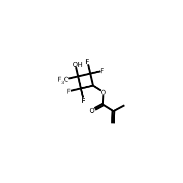 C=C(C)C(=O)OC1C(F)(F)C(O)(C(F)(F)F)C1(F)F